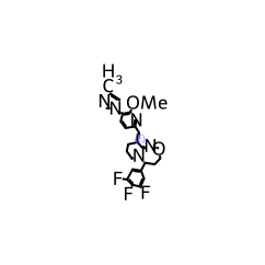 COc1nc(/C=C2\CCCN3C2=NOCCC3c2cc(F)c(F)c(F)c2)ccc1-n1cnc(C)c1